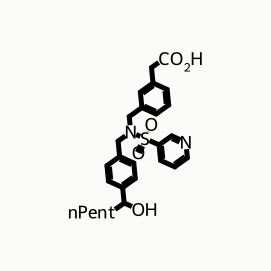 CCCCCC(O)c1ccc(CN(Cc2cccc(CC(=O)O)c2)S(=O)(=O)c2cccnc2)cc1